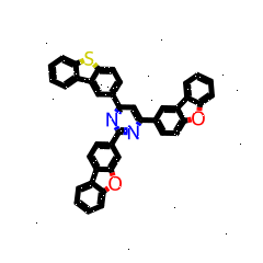 c1ccc2c(c1)oc1cc(-c3nc(-c4ccc5oc6ccccc6c5c4)cc(-c4ccc5sc6ccccc6c5c4)n3)ccc12